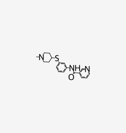 CN1CCC(Sc2cccc(NC(=O)c3cccnc3)c2)CC1